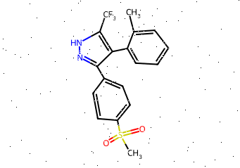 Cc1ccccc1-c1c(-c2ccc(S(C)(=O)=O)cc2)n[nH]c1C(F)(F)F